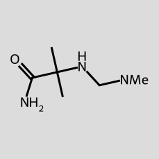 CNCNC(C)(C)C(N)=O